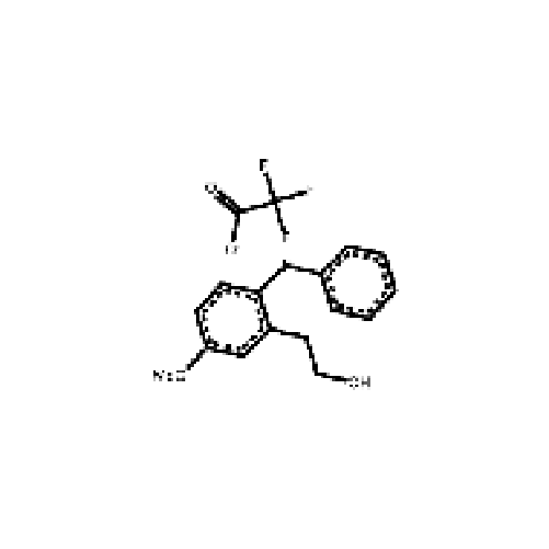 COc1ccc([I+]c2ccccc2)c(CCO)c1.O=C([O-])C(F)(F)F